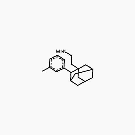 CNCCC12CC3CC(CC(C3)C1c1cccc(C)c1)C2